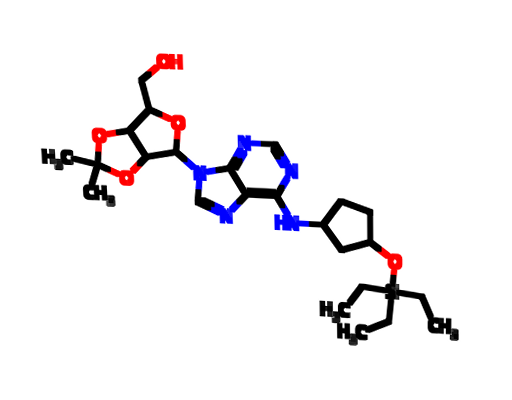 CC[Si](CC)(CC)OC1CCC(Nc2ncnc3c2ncn3C2OC(CO)C3OC(C)(C)OC32)C1